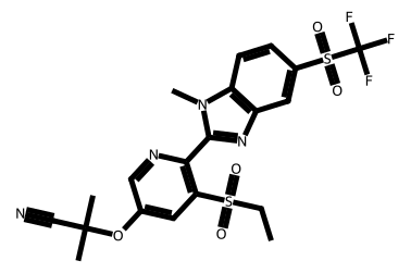 CCS(=O)(=O)c1cc(OC(C)(C)C#N)cnc1-c1nc2cc(S(=O)(=O)C(F)(F)F)ccc2n1C